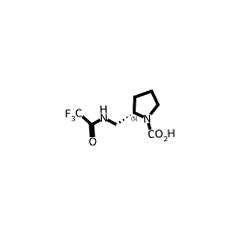 O=C(O)N1CCC[C@H]1CNC(=O)C(F)(F)F